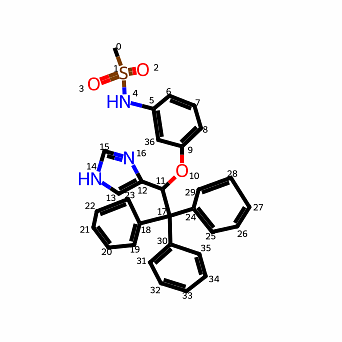 CS(=O)(=O)Nc1cccc(OC(c2c[nH]cn2)C(c2ccccc2)(c2ccccc2)c2ccccc2)c1